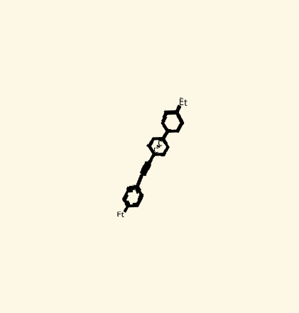 CCc1ccc(C#CC23CCC(C4CCC(CC)CC4)(CC2)CC3)cc1